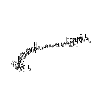 CC(=O)c1c(C)c2cnc(Nc3ccc(N4CCN(CC(=O)NCCOCCOCCOCCOCCOCCNc5cccc(C(=O)Nc6nc(C)c(C)s6)c5C)CC4)cn3)nc2n(C2CCCC2)c1=O